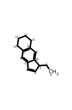 CC[C]1C=Cc2cc3c(cc21)CCCC3